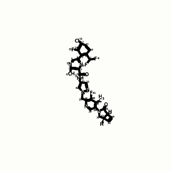 Cc1ncc(-c2c(C(F)F)ccc(Cl)c2F)nc1C(=O)Nc1cnn(Cc2ncc(N3C[C@H]4C#C[C@H]4C3=O)c(C)c2F)c1